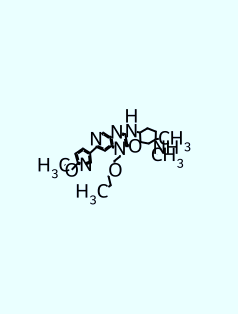 CCCOCCn1c(=O)c(NC2CCC(C)(NC)CC2)nc2cnc(-c3ccc(OC)nc3)cc21